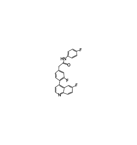 O=C(Cc1ccc(-c2ccnc3ccc(F)cc23)c(F)c1)Nc1ccc(F)cc1